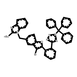 CCCCc1nc2ccccc2n1Cc1ccc2oc(-c3ccccc3-c3nnn(C(c4ccccc4)(c4ccccc4)c4ccccc4)n3)c(Br)c2c1